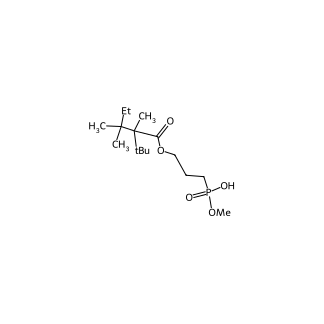 CCC(C)(C)C(C)(C(=O)OCCCP(=O)(O)OC)C(C)(C)C